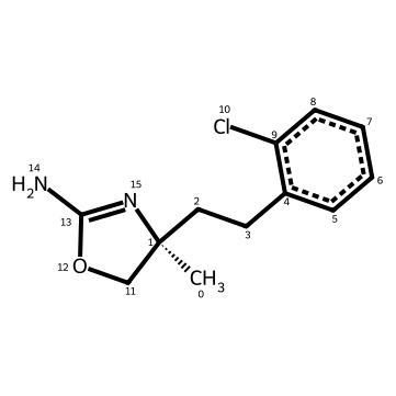 C[C@]1(CCc2ccccc2Cl)COC(N)=N1